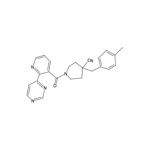 Cc1ccc(CC2(C#N)CCN(C(=O)c3cccnc3-c3ccncn3)CC2)cc1